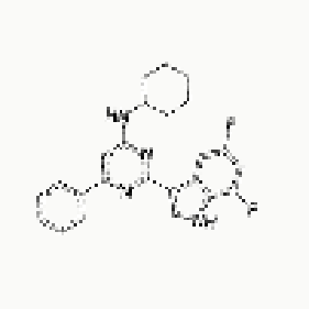 Fc1cc(F)c2[nH]cc(-c3nc(NC4CCCCC4)cc(-c4ccccc4)n3)c2c1